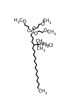 CCCCCCCCCCCCCCC(CCC[Si](OCCOC)(OCCOC)OCCOC)C(C)(C)N.Cl